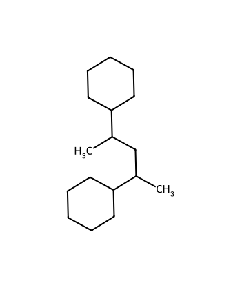 CC(CC(C)C1CCCCC1)C1CCCCC1